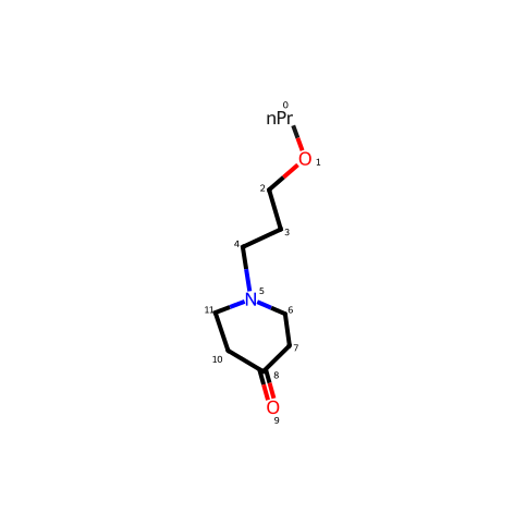 CCCOCCCN1CCC(=O)CC1